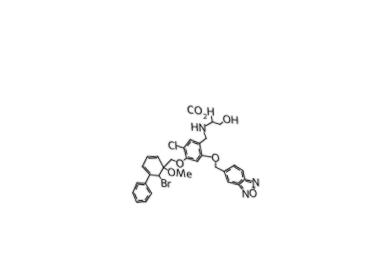 COC1(COc2cc(OCc3ccc4nonc4c3)c(CNC(CO)C(=O)O)cc2Cl)C=CC=C(c2ccccc2)C1Br